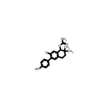 CCCc1ccc(-c2cc3c(cc2F)C(OC(N)=O)C(C)(C)CC3)cc1